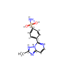 Cc1nc2ccnc(-c3ccc(S(N)(=O)=O)cc3)n2n1